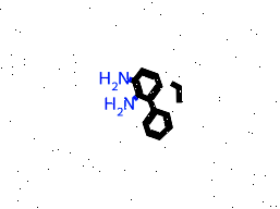 CCC.Nc1cccc(-c2ccccc2)c1N